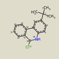 CC(C)(C)c1ccc2c(c1)-c1ccccc1B(Cl)N2